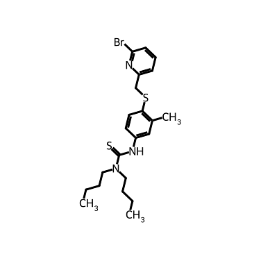 CCCCN(CCCC)C(=S)Nc1ccc(SCc2cccc(Br)n2)c(C)c1